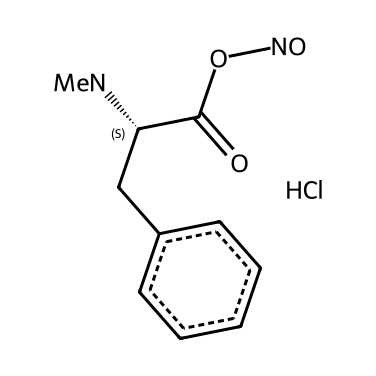 CN[C@@H](Cc1ccccc1)C(=O)ON=O.Cl